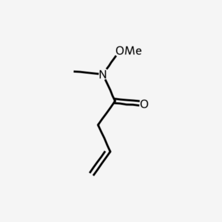 C=CCC(=O)N(C)OC